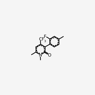 Cc1ccc(-c2c(C(F)(F)F)cc(C)n(C)c2=O)c(F)c1